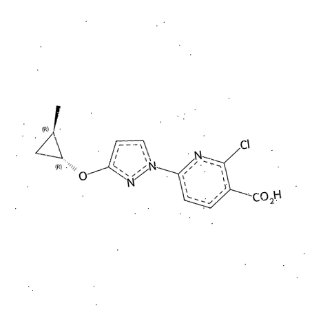 C[C@@H]1C[C@H]1Oc1ccn(-c2ccc(C(=O)O)c(Cl)n2)n1